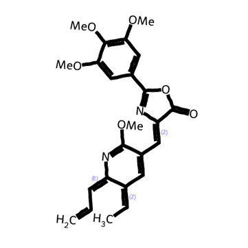 C=C/C=c1/nc(OC)c(/C=C2\N=C(c3cc(OC)c(OC)c(OC)c3)OC2=O)c/c1=C/C